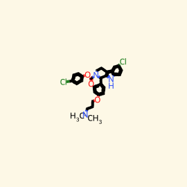 CN(C)CCCOc1ccc(C2c3[nH]c4ccc(Cl)cc4c3CCN2C(=O)Oc2ccc(Cl)cc2)cc1